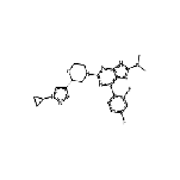 CN(C)c1nc2nc(N3CCO[C@@H](c4cnn(C5CC5)c4)C3)nc(-c3ccc(F)cc3F)c2s1